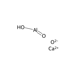 [Ca+2].[O-2].[O]=[Al][OH]